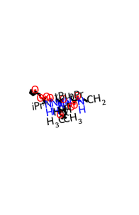 C=CCNC(=O)C(=O)C(CCC)NC(=O)[C@@H]1[C@H]2CC(C)(C)O[C@H]2CN1C(=O)[C@@H](NC(=O)N[C@H](C(=O)OCc1ccco1)C(C)C)C(C)(C)C